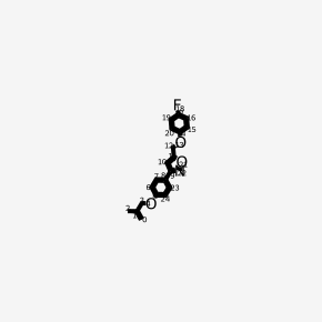 C=C(C)COc1ccc(-c2cc(COc3ccc(F)cc3)on2)cc1